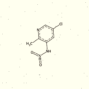 Cc1ncc(Cl)cc1N[SH](=O)=O